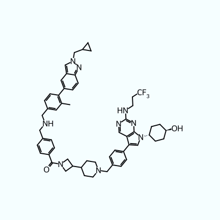 Cc1cc(CNCc2ccc(C(=O)N3CC(C4CCN(Cc5ccc(-c6cn([C@H]7CC[C@H](O)CC7)c7nc(NCCC(F)(F)F)ncc67)cc5)CC4)C3)cc2)ccc1-c1ccc2nn(CC3CC3)cc2c1